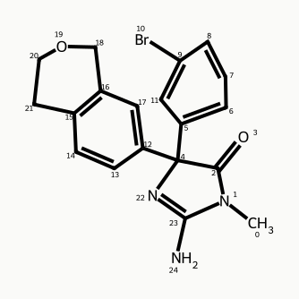 CN1C(=O)C(c2cccc(Br)c2)(c2ccc3c(c2)COCC3)N=C1N